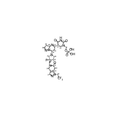 O=c1[nH]c(=O)n(COP(=O)(O)O)cc1-c1cc(N2CC(Oc3cc4c(cn3)cnn4CC(F)(F)F)C(F)(F)C2)n2nccc2n1